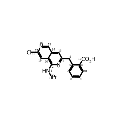 CC(C)Nc1nc(Cc2ccccc2C(=O)O)cc2cnc(Cl)cc12